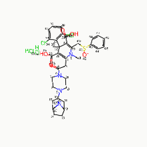 CN1C(CC(=O)N2CCN(C3CC4CCC(C3)N4C)CC2)=C(C(=O)O)C(C)(c2c(Cl)cccc2Cl)C(C(=O)O)=C1C[S+]([O-])c1ccccc1.Cl.Cl